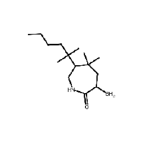 BC1CC(C)(C)C(C(C)(C)CCCC)CNC1=O